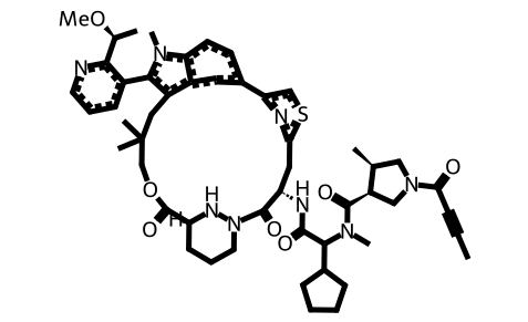 CC#CC(=O)N1C[C@H](C)[C@H](C(=O)N(C)C(C(=O)N[C@H]2Cc3nc(cs3)-c3ccc4c(c3)c(c(-c3cccnc3[C@H](C)OC)n4C)CC(C)(C)COC(=O)[C@@H]3CCCN(N3)C2=O)C2CCCC2)C1